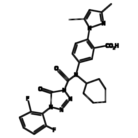 Cc1cc(C)n(-c2ccc(N(C(=O)n3nnn(-c4c(F)cccc4F)c3=O)C3CCCCC3)cc2C(=O)O)n1